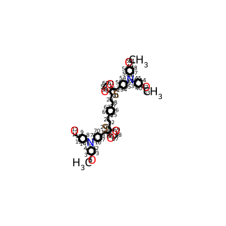 COc1ccc(N(c2ccc(C=O)cc2)c2ccc(-c3sc(/C=C/c4ccc(/C=C/c5sc(-c6ccc(N(c7ccc(OC)cc7)c7ccc(OC)cc7)cc6)c6c5OCCO6)cc4)c4c3OCCO4)cc2)cc1